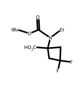 CCN(C(=O)OC(C)(C)C)C1(C(=O)O)CC(F)(F)C1